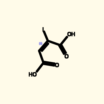 O=C(O)/C=C(/I)C(=O)O